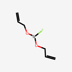 C=CCO[Si](F)OCC=C